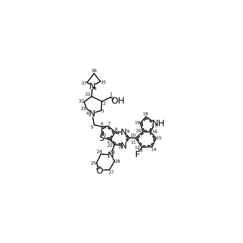 OCC1CN(Cc2cc3nc(-c4c(F)ccc5[nH]ccc45)nc(N4CCOCC4)c3s2)CCC1N1CCC1